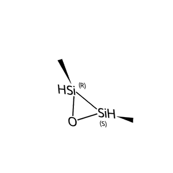 C[Si@@H]1O[Si@@H]1C